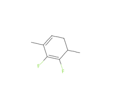 CC1=CCC(C)C(F)=C1F